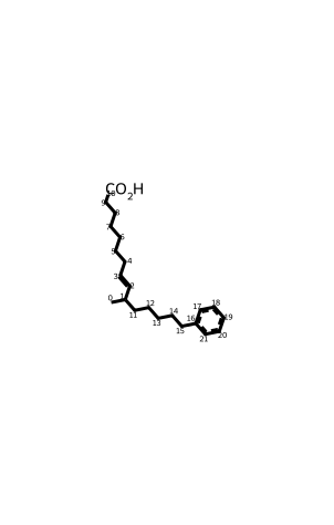 CC(C=CCCCCCCC(=O)O)CCCCCc1ccccc1